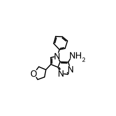 Nc1ncnc2c(C3CCOC3)cn(-c3ccccc3)c12